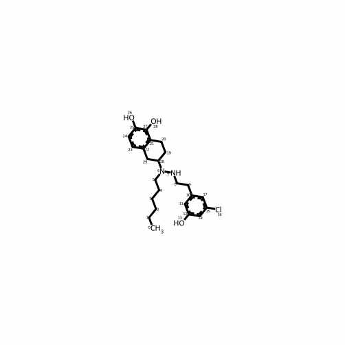 CCCCCCN(NCCc1cc(O)cc(Cl)c1)C1CCc2c(ccc(O)c2O)C1